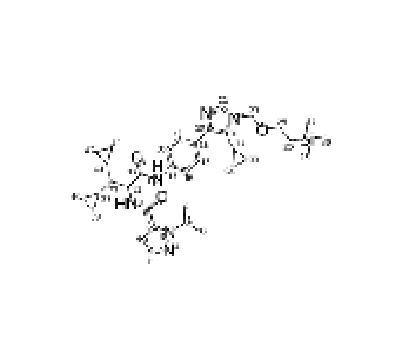 CC(C)n1nccc1C(=O)NC(C(=O)Nc1ccc(-c2ncn(COCC[Si](C)(C)C)c2C2CC2)cc1)C(C1CC1)C1CC1